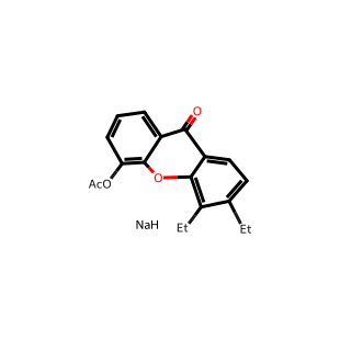 CCc1ccc2c(=O)c3cccc(OC(C)=O)c3oc2c1CC.[NaH]